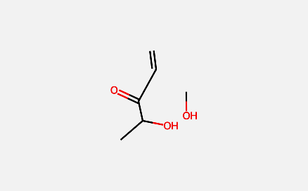 C=CC(=O)C(C)O.CO